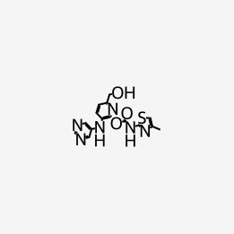 Cc1csc(NC(=O)Oc2nc(CO)ccc2Nc2cncnc2)n1